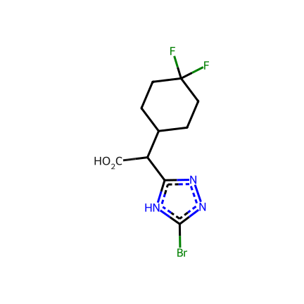 O=C(O)C(c1nnc(Br)[nH]1)C1CCC(F)(F)CC1